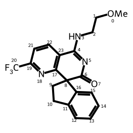 COCCNC1=NC(=O)C2(CCc3ccccc32)c2nc(C(F)(F)F)ccc21